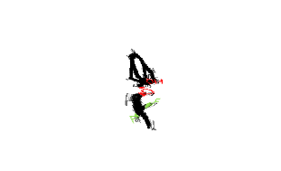 CCC1(O)C2CC3CC1CC(C2)C3COCC(C)(F)F